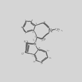 CN1Cc2ccccc2C(n2ccc3ccccc32)C1